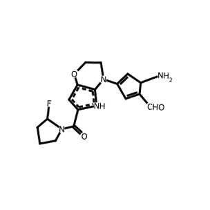 NC1C=C(N2CCOc3cc(C(=O)N4CCCC4F)[nH]c32)C=C1C=O